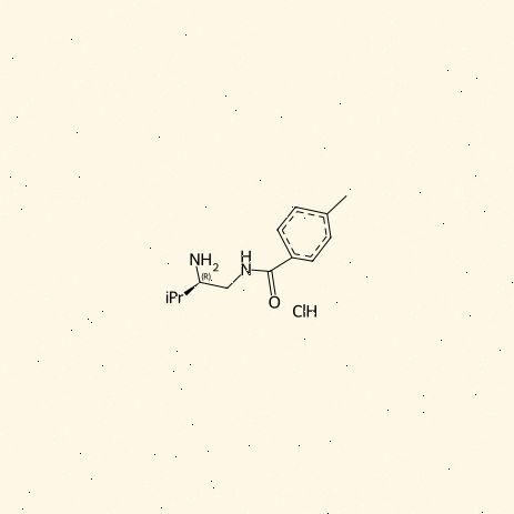 Cc1ccc(C(=O)NC[C@H](N)C(C)C)cc1.Cl